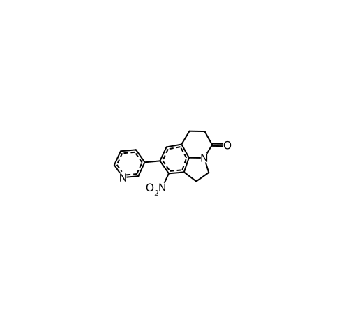 O=C1CCc2cc(-c3cccnc3)c([N+](=O)[O-])c3c2N1CC3